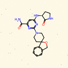 NC(=O)c1cc(N[C@H]2CCNC2=O)nc(N2CCC3(CC2)OCc2ccccc23)n1